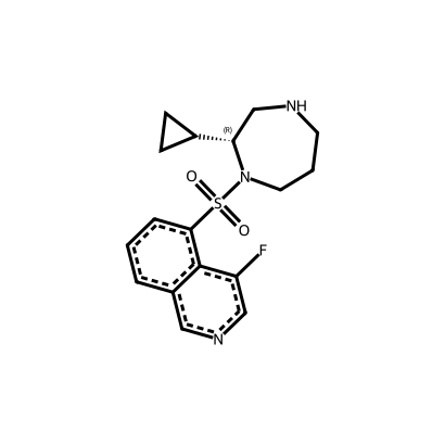 O=S(=O)(c1cccc2cncc(F)c12)N1CCCNC[C@H]1C1CC1